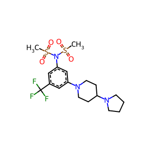 CS(=O)(=O)N(c1cc(N2CCC(N3CCCC3)CC2)cc(C(F)(F)F)c1)S(C)(=O)=O